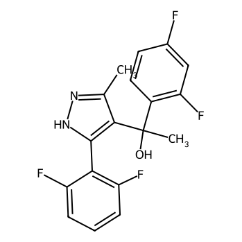 Cc1n[nH]c(-c2c(F)cccc2F)c1C(C)(O)c1ccc(F)cc1F